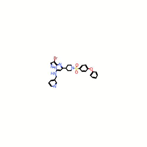 O=S(=O)(c1ccc(Oc2ccccc2)cc1)N1CCC(c2cc(NCc3cccnc3)n3ncc(Br)c3n2)CC1